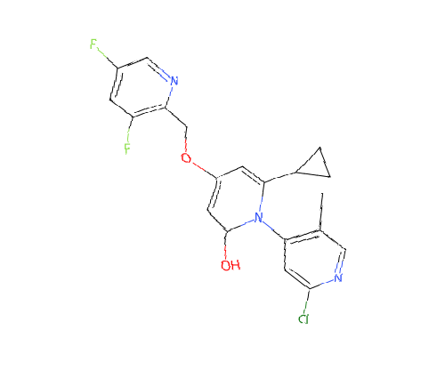 Cc1cnc(Cl)cc1N1C(C2CC2)=CC(OCc2ncc(F)cc2F)=CC1O